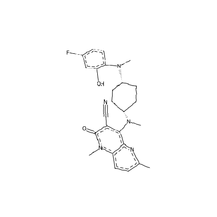 Cc1ccc2c(n1)c(N(C)[C@H]1CC[C@@H](N(C)c3ccc(F)cc3O)CC1)c(C#N)c(=O)n2C